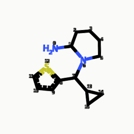 NC1CCCCN1C(c1cccs1)C1CC1